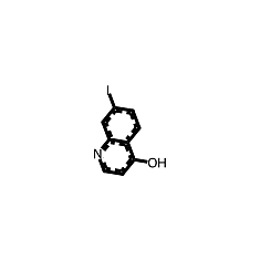 Oc1ccnc2cc(I)ccc12